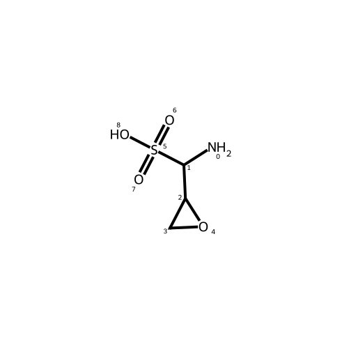 NC(C1CO1)S(=O)(=O)O